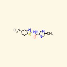 Cc1cnc(C(=O)Nc2nc3cc([N+](=O)[O-])ccc3s2)cn1